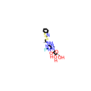 C[C@H](CSc1nc2ccccc2s1)Nc1nc(F)nc2c1ncn2[C@@H]1O[C@H](CO)C(O)C1O